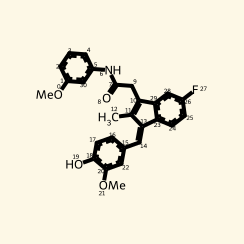 COc1cccc(NC(=O)CC2=C(C)C(=Cc3ccc(O)c(OC)c3)c3ccc(F)cc32)c1